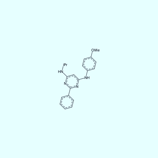 COc1ccc(Nc2cc(NC(C)C)nc(-c3ccccc3)n2)cc1